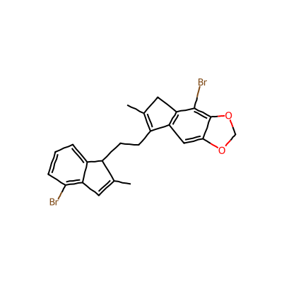 CC1=Cc2c(Br)cccc2C1CCC1=C(C)Cc2c1cc1c(c2Br)OCO1